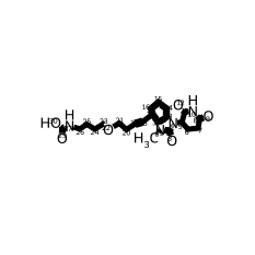 Cn1c(=O)n(C2CCC(=O)NC2=O)c2cccc(C#CCCOCCCCNC(=O)O)c21